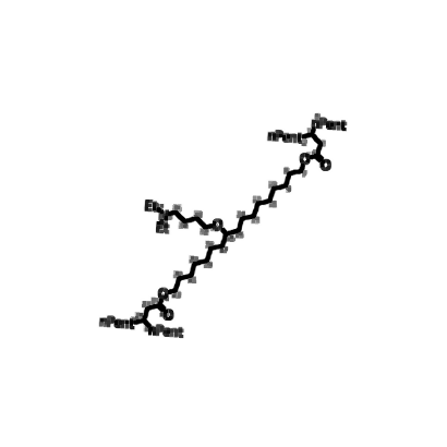 CCCCCC(CCCCC)CC(=O)OCCCCCCCCCC(CCCCCCCOC(=O)CC(CCCCC)CCCCC)OCCCCN(CC)CC